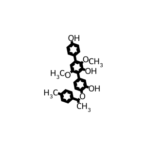 COc1cc(-c2ccc(O)cc2)c(OC)c(O)c1-c1ccc(OC(C)c2ccc(C)cc2)c(O)c1